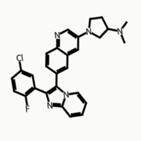 CN(C)C1CCN(c2cnc3ccc(-c4c(-c5cc(Cl)ccc5F)nc5ccccn45)cc3c2)C1